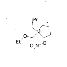 CCOC[N+]1(CC(C)C)CCCC1.O=[N+]([O-])[O-]